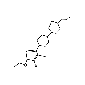 CCCC1CCC(C2CCC(C3=CCC(OCC)C(F)=C3F)CC2)CC1